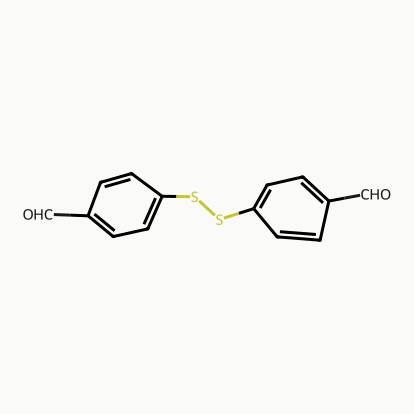 O=Cc1ccc(SSc2ccc(C=O)cc2)cc1